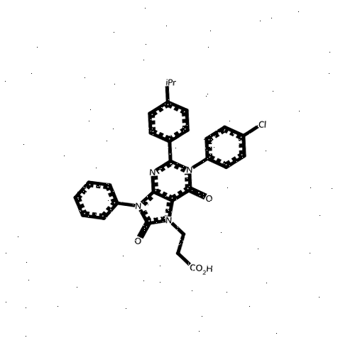 CC(C)c1ccc(-c2nc3c(c(=O)n2-c2ccc(Cl)cc2)n(CCC(=O)O)c(=O)n3-c2ccccc2)cc1